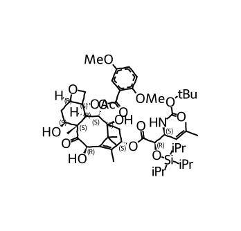 COc1ccc(OC)c(C(=O)O[C@H]2[C@@H]3[C@]4(OC(C)=O)CO[C@@H]4C[C@H](O)[C@@]3(C)C(=O)[C@H](O)C3=C(C)[C@@H](OC(=O)[C@H](O[Si](C(C)C)(C(C)C)C(C)C)[C@H](C=C(C)C)NC(=O)OC(C)(C)C)C[C@]2(O)C3(C)C)c1